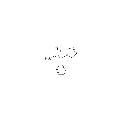 C[Si](C)=C(C1=[C]CC=C1)C1=CC=CC1